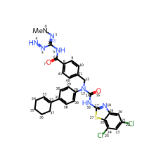 CN/N=C(\N=N)NC(=O)c1ccc(CN(C(=O)Nc2nc3cc(Cl)cc(Cl)c3s2)c2ccc(C3=CCCCC3)cc2)cc1